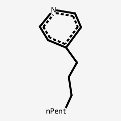 CCCCCCCCc1ccncc1